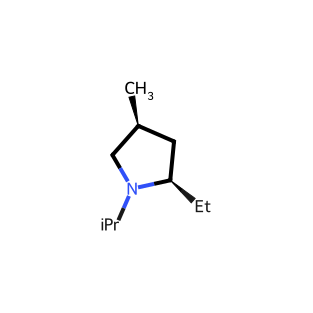 CC[C@@H]1C[C@H](C)CN1C(C)C